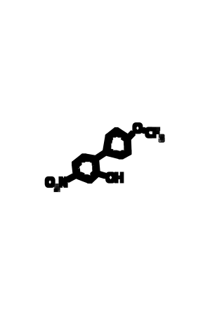 O=[N+]([O-])c1ccc(-c2ccc(OC(F)(F)F)cc2)c(O)c1